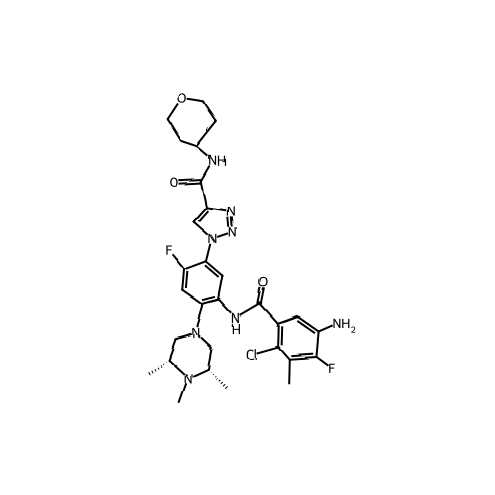 Cc1c(F)c(N)cc(C(=O)Nc2cc(-n3cc(C(=O)NC4CCOCC4)nn3)c(F)cc2N2C[C@@H](C)N(C)[C@@H](C)C2)c1Cl